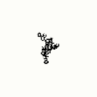 CC[C@H](C)[C@H](NC(=O)[C@@H](Cc1ccc(OC)cc1)NC(=O)C(CCCCOC(=O)c1ccccc1)NC(=O)OC(C)(C)C)C(=O)N1CCC[C@@H]1C(=O)OCc1ccccc1